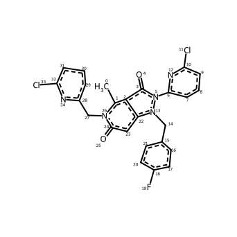 Cc1c2c(=O)n(-c3cccc(Cl)n3)n(Cc3ccc(F)cc3)c2cc(=O)n1Cc1cccc(Cl)n1